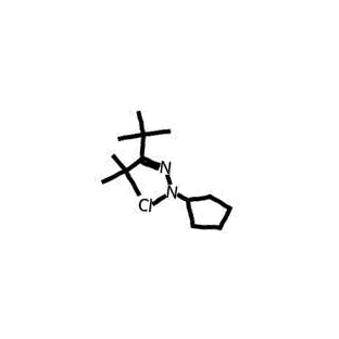 CC(C)(C)C(=NN(Cl)C1CCCC1)C(C)(C)C